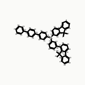 CC1(C)c2ccccc2-c2ccc(N(c3ccc(-c4ccc(-c5ccccc5)cc4)cc3)c3cccc(-c4cccc5c4C(C)(C)c4ccccc4-5)c3)cc21